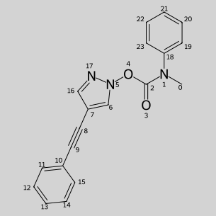 CN(C(=O)On1cc(C#Cc2ccccc2)cn1)c1ccccc1